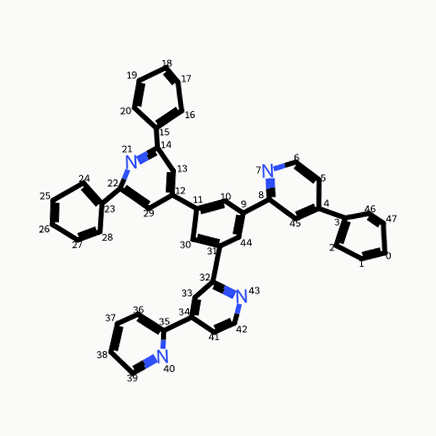 c1ccc(-c2ccnc(-c3cc(-c4cc(-c5ccccc5)nc(-c5ccccc5)c4)cc(-c4cc(-c5ccccn5)ccn4)c3)c2)cc1